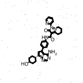 Nc1ncnn2c1c(-c1ccc(NC(=O)c3c4n(n(-c5ccccn5)c3=O)CCCC4)cc1)cc2[C@H]1CC[C@H](O)CC1